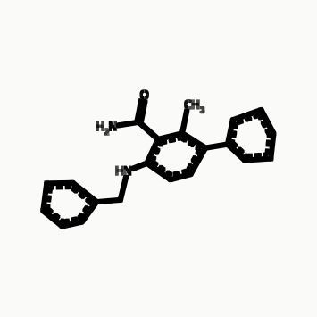 Cc1c(-c2ccccc2)ccc(NCc2ccccc2)c1C(N)=O